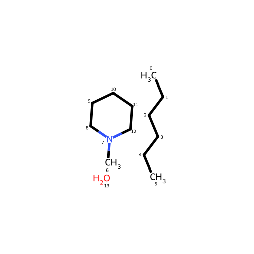 CCCCCC.CN1CCCCC1.O